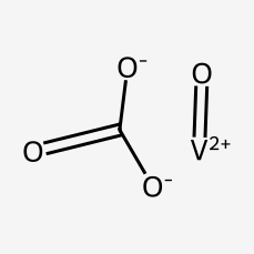 O=C([O-])[O-].[O]=[V+2]